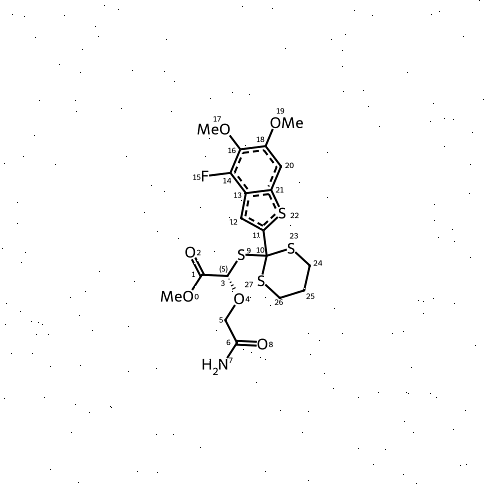 COC(=O)[C@@H](OCC(N)=O)SC1(c2cc3c(F)c(OC)c(OC)cc3s2)SCCCS1